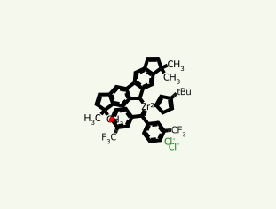 CC(C)(C)C1=CC[C]([Zr+2](=[C](c2cccc(C(F)(F)F)c2)c2cccc(C(F)(F)F)c2)[CH]2c3cc4c(cc3-c3cc5c(cc32)C(C)(C)C=C5)C=CC4(C)C)=C1.[Cl-].[Cl-]